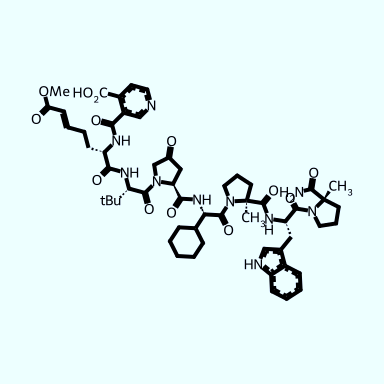 COC(=O)/C=C/CC[C@H](NC(=O)c1cnccc1C(=O)O)C(=O)N[C@H](C(=O)N1CC(=O)C[C@H]1C(=O)N[C@H](C(=O)N1CCC[C@@]1(C)C(=O)N[C@@H](Cc1c[nH]c2ccccc12)C(=O)N1CCC[C@@]1(C)C(N)=O)C1CCCCC1)C(C)(C)C